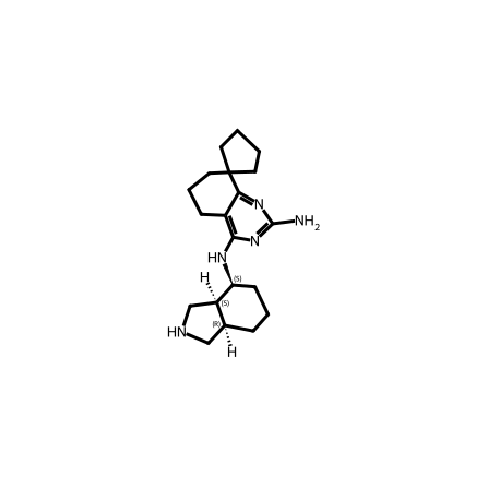 Nc1nc(N[C@H]2CCC[C@H]3CNC[C@H]32)c2c(n1)C1(CCCC1)CCC2